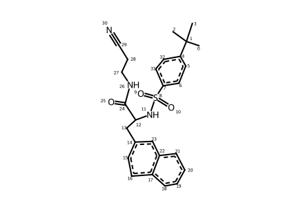 CC(C)(C)c1ccc(S(=O)(=O)NC(Cc2ccc3ccccc3c2)C(=O)NCCC#N)cc1